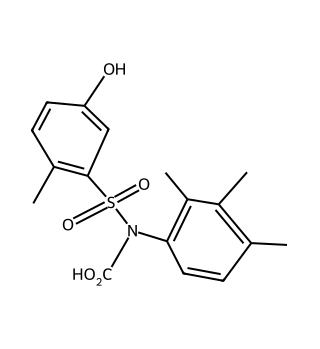 Cc1ccc(O)cc1S(=O)(=O)N(C(=O)O)c1ccc(C)c(C)c1C